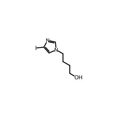 OCCCCn1cnc(I)c1